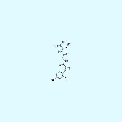 CC(C)CC(NC(=O)CNC(=O)C1CCN1c1ccc(C#N)cc1F)B(O)O